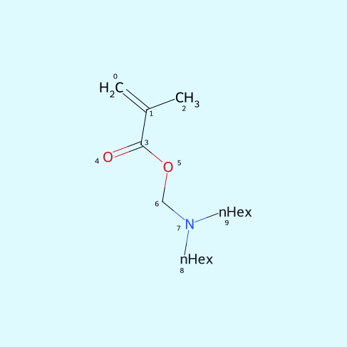 C=C(C)C(=O)OCN(CCCCCC)CCCCCC